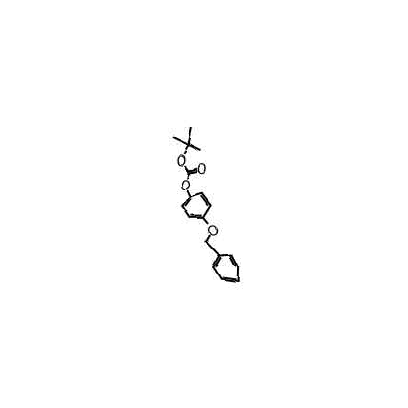 CC(C)(C)OC(=O)Oc1ccc(OCc2ccccc2)cc1